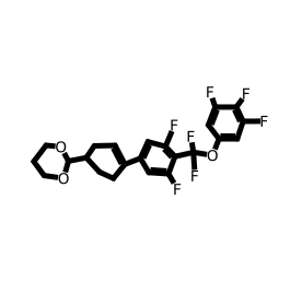 Fc1cc(OC(F)(F)c2c(F)cc(C3=CCC(C4OCCCO4)CC3)cc2F)cc(F)c1F